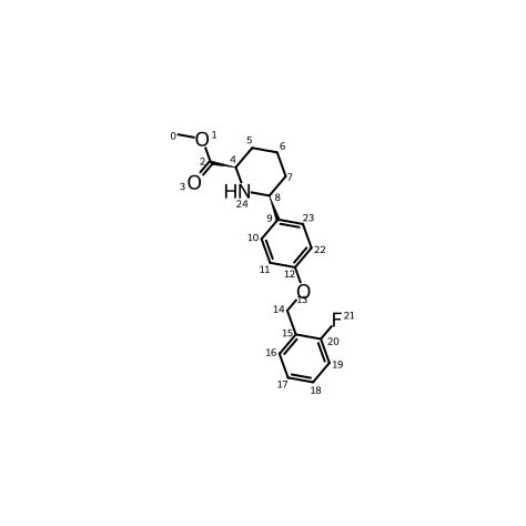 COC(=O)[C@H]1CCC[C@@H](c2ccc(OCc3ccccc3F)cc2)N1